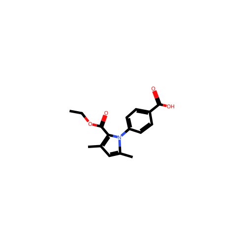 CCOC(=O)c1c(C)cc(C)n1-c1ccc(C(=O)O)cc1